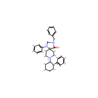 O=C1N(Cc2ccccc2)CN(c2ccccc2)C12CCN([C@@H]1CCCC[C@@H]1c1ccccc1)CC2